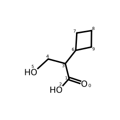 O=C(O)C(CO)C1CCC1